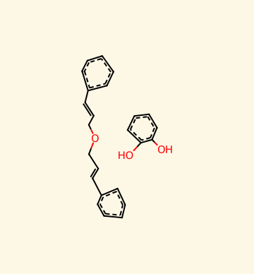 C(=C\c1ccccc1)/COC/C=C/c1ccccc1.Oc1ccccc1O